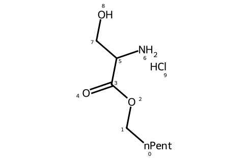 CCCCCCOC(=O)C(N)CO.Cl